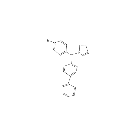 Brc1ccc(C(c2ccc(-c3ccccc3)cc2)n2ccnc2)cc1